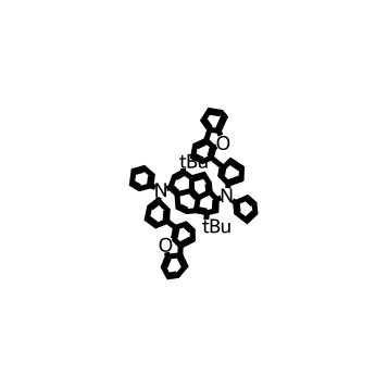 CC(C)(C)c1cc(N(c2ccccc2)c2cccc(-c3cccc4c3oc3ccccc34)c2)c2ccc3c(C(C)(C)C)cc(N(c4ccccc4)c4cccc(-c5cccc6c5oc5ccccc56)c4)c4ccc1c2c43